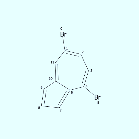 Brc1ccc(Br)c2cccc-2c1